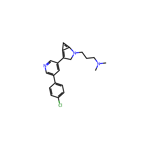 CN(C)CCCN1CC(c2cncc(-c3ccc(Cl)cc3)c2)=C2C=C21